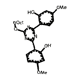 CCCCCCCCOc1nc(-c2ccc(OC)cc2O)nc(-c2ccc(OC)cc2O)n1